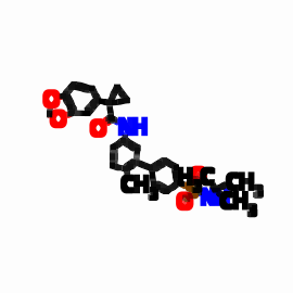 Cc1ccc(NC(=O)C2(c3ccc4c(c3)OCO4)CC2)cc1-c1ccc(S(=O)(=O)NC(C)(C)C)cc1